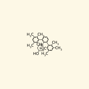 Cc1cc(C)c(C)c(-c2cccc(-c3c(C)c(C)cc(C)c3C)c2P2CCC(O)CC2)c1C